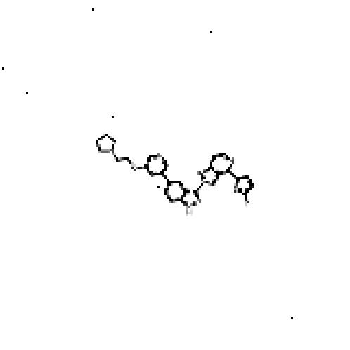 Fc1ccc(-c2nccc3[nH]c(-c4n[nH]c5ccc(-c6cncc(OCCN7CCCC7)c6)cc45)cc23)s1